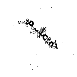 CNS(=O)(=O)c1cccc(OCC(O)CNC2COC3(CCN(S(=O)(=O)c4cnc5c(c4)N(C)CC(C)O5)CC3)C2)c1.Cl.Cl